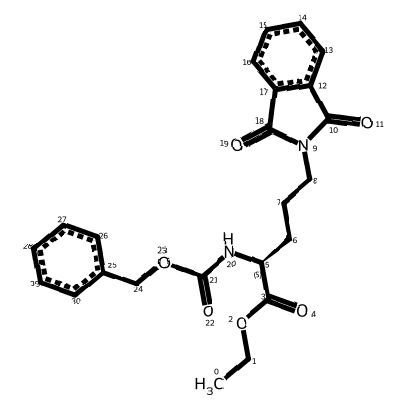 CCOC(=O)[C@H](CCCN1C(=O)c2ccccc2C1=O)NC(=O)OCc1ccccc1